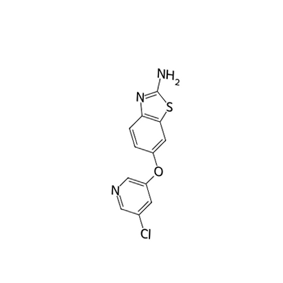 Nc1nc2ccc(Oc3cncc(Cl)c3)cc2s1